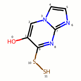 Oc1cn2ccnc2nc1SS